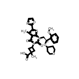 COc1ccccc1[C@H](Cn1c(=O)n(C2CC(C)(C(=O)O)C2)c(=O)c2c(C)c(-c3ncco3)sc21)OC1CCOCC1